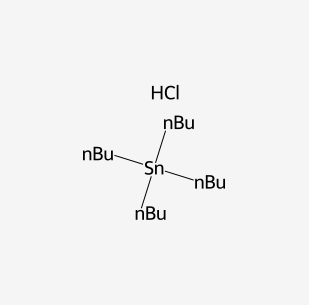 CCC[CH2][Sn]([CH2]CCC)([CH2]CCC)[CH2]CCC.Cl